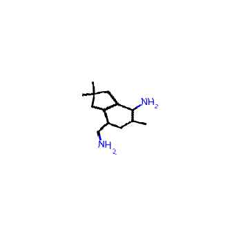 CC1CC(CN)C2CC(C)(C)CC2C1N